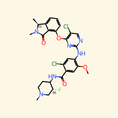 COc1cc(C(=O)NC2CCN(C)C[C@H]2F)c(Cl)cc1Nc1ncc(Cl)c(Oc2cccc3c2C(=O)N(C)[C@H]3C)n1